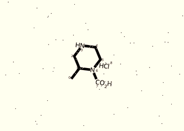 CC1CNCCN1C(=O)O.Cl